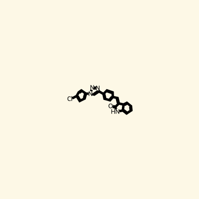 O=C1Nc2ccccc2/C1=C/c1ccc(-c2cn(-c3ccc(Cl)cc3)nn2)cc1